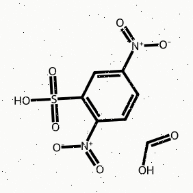 O=CO.O=[N+]([O-])c1ccc([N+](=O)[O-])c(S(=O)(=O)O)c1